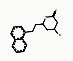 O=C1CC(O)CC(CCc2cccc3ccccc23)O1